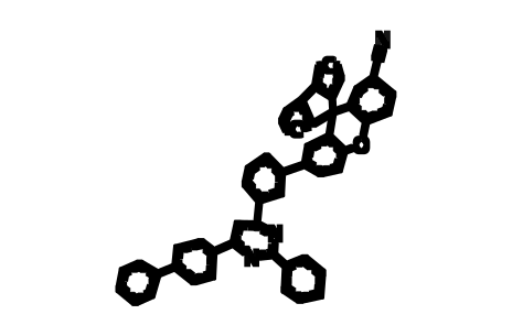 N#Cc1ccc2c(c1)C1(c3cc(-c4cccc(-c5cc(-c6ccc(-c7ccccc7)cc6)nc(-c6ccccc6)n5)c4)ccc3O2)c2ccccc2-c2ccccc21